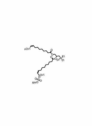 CCCCCCCC/C=C\CCCCCCCC(=O)OCC(C[N+](CC)(CC)CC)OC(=O)CCCCCCC/C=C\CCCCCCCC.COS(=O)(=O)[O-]